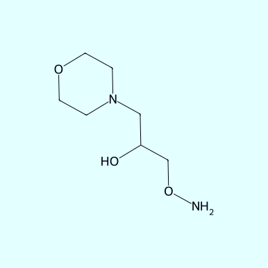 NOCC(O)CN1CCOCC1